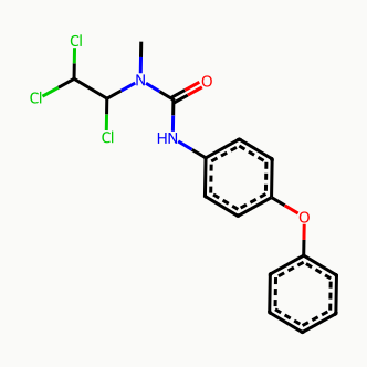 CN(C(=O)Nc1ccc(Oc2ccccc2)cc1)C(Cl)C(Cl)Cl